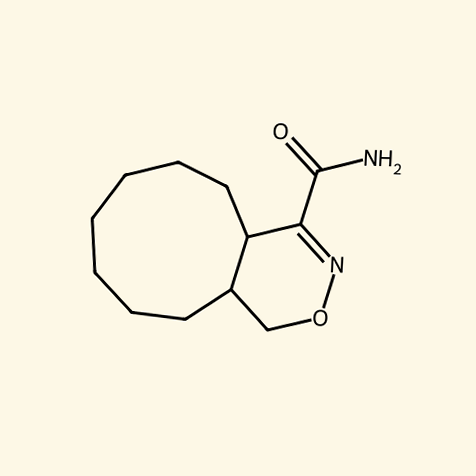 NC(=O)C1=NOCC2CCCCCCCC12